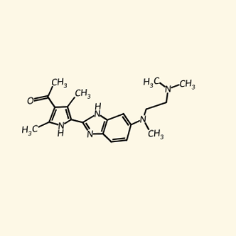 CC(=O)c1c(C)[nH]c(-c2nc3ccc(N(C)CCN(C)C)cc3[nH]2)c1C